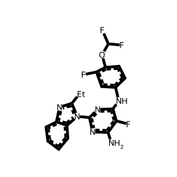 CCc1nc2ccccc2n1-c1nc(N)c(F)c(Nc2ccc(OC(F)F)c(F)c2)n1